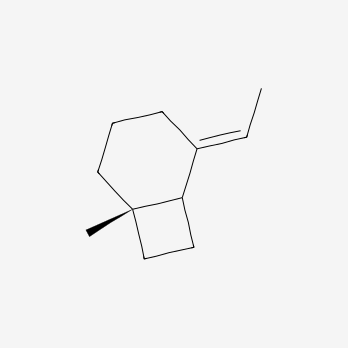 C/C=C1\CCC[C@@]2(C)CCC12